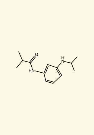 CC(C)Nc1cccc(NC(=O)C(C)C)c1